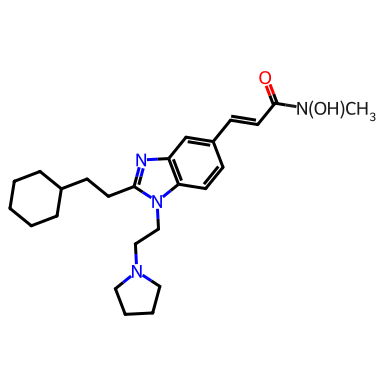 CN(O)C(=O)/C=C/c1ccc2c(c1)nc(CCC1CCCCC1)n2CCN1CCCC1